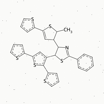 CC1SC(c2cccs2)=CC1C1N=C(c2ccccc2)SC1c1cc(-c2cccs2)sc1-c1cccs1